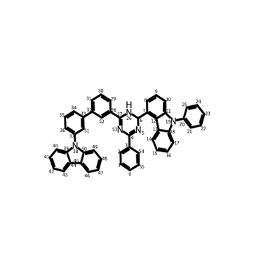 c1ccc(C2=NC(c3cccc4c3c3ccccc3n4-c3ccccc3)NC(c3cccc(-c4cccc(-n5c6ccccc6c6ccccc65)c4)c3)=N2)cc1